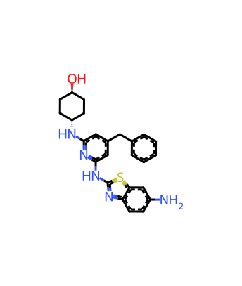 Nc1ccc2nc(Nc3cc(Cc4ccccc4)cc(N[C@H]4CC[C@H](O)CC4)n3)sc2c1